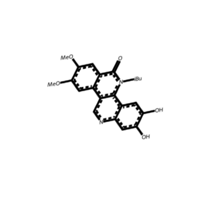 CCC(C)n1c(=O)c2cc(OC)c(OC)cc2c2cnc3cc(O)c(O)cc3c21